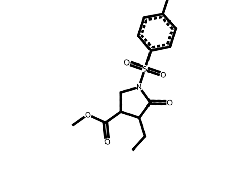 CCC1C(=O)N(S(=O)(=O)c2ccc(C)cc2)CC1C(=O)OC